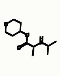 CC(C)N[C@@H](C)C(=O)OC1CCOCC1